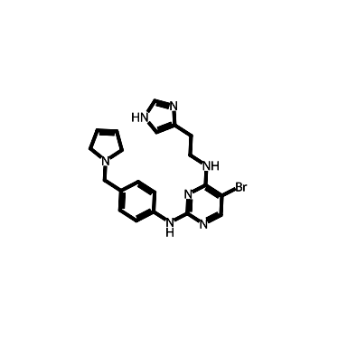 Brc1cnc(Nc2ccc(CN3CC=CC3)cc2)nc1NCCc1c[nH]cn1